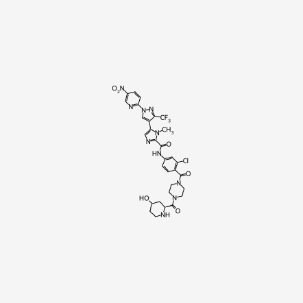 Cn1c(-c2cn(-c3ccc([N+](=O)[O-])cn3)nc2C(F)(F)F)cnc1C(=O)Nc1ccc(C(=O)N2CCN(C(=O)[C@@H]3CC(O)CCN3)CC2)c(Cl)c1